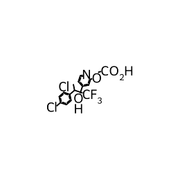 CC(c1ccc(Cl)cc1Cl)C(O)(c1ccnc(OCC(=O)O)c1)C(F)(F)F